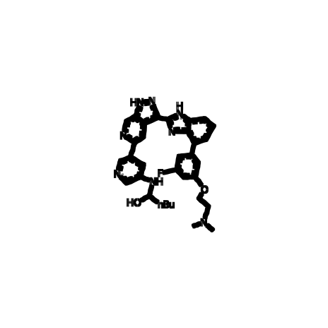 CCCCC(O)Nc1cncc(-c2cc3c(-c4nc5c(-c6cc(F)cc(OCCN(C)C)c6)cccc5[nH]4)n[nH]c3cn2)c1